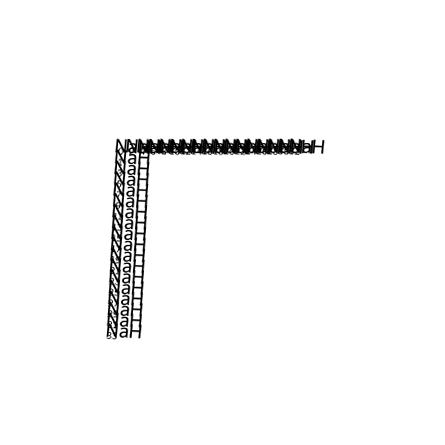 [NaH].[NaH].[NaH].[NaH].[NaH].[NaH].[NaH].[NaH].[NaH].[NaH].[NaH].[NaH].[NaH].[NaH].[NaH].[NaH].[NaH].[NaH].[NaH].[NaH].[NaH].[NaH].[NaH].[NaH].[NaH].[NaH].[NaH].[NaH].[NaH].[NaH].[NaH].[NaH].[NaH].[NaH]